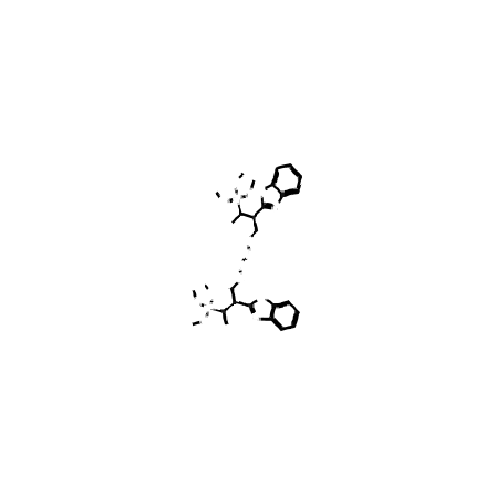 CO[Si](OC)(OC)C(C)C(CSSSSCC(c1nc2ccccc2s1)C(C)[Si](OC)(OC)OC)c1nc2ccccc2s1